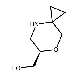 OC[C@H]1CNC2(CC2)CO1